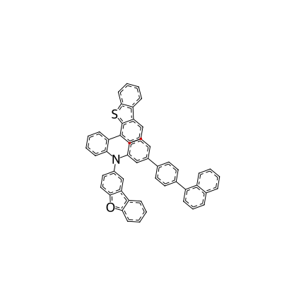 c1cc(-c2ccc(-c3cccc4ccccc34)cc2)cc(N(c2ccc3oc4ccccc4c3c2)c2ccccc2-c2cccc3c2sc2ccccc23)c1